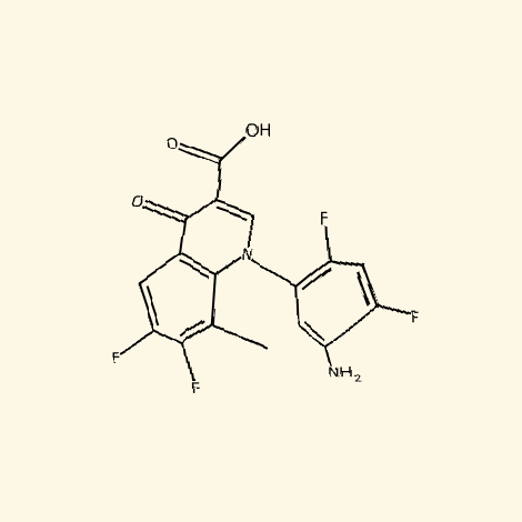 Cc1c(F)c(F)cc2c(=O)c(C(=O)O)cn(-c3cc(N)c(F)cc3F)c12